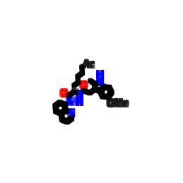 COc1ccc2[nH]c(C)c(CC(=O)N[C@@H](CCCCCC(C)=O)C(=O)Nc3cccc4cccnc34)c2c1